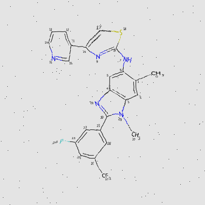 Cc1cc2c(cc1Nc1nc(-c3cccnc3)cs1)nc(-c1cc(F)cc(C(F)(F)F)c1)n2C